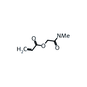 C=CC(=O)OCC(=O)NC